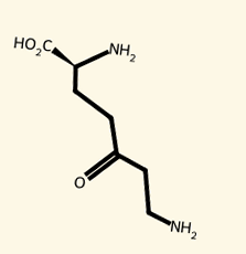 NCCC(=O)CC[C@H](N)C(=O)O